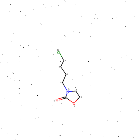 O=C1OCCN1CCCCCl